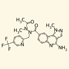 CC(=O)N(C)N(Cc1ccc(C(F)(F)F)cn1)C(=O)c1ccc2nc(N)c3cnn(C)c3c2c1